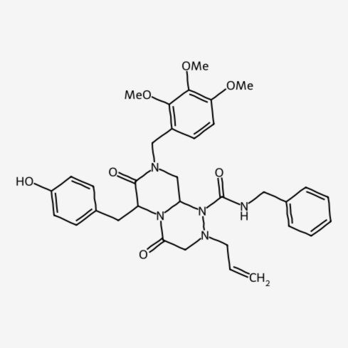 C=CCN1CC(=O)N2C(Cc3ccc(O)cc3)C(=O)N(Cc3ccc(OC)c(OC)c3OC)CC2N1C(=O)NCc1ccccc1